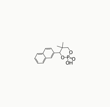 CC1(C)COP(=O)(O)OC1c1ccc2ccccc2c1